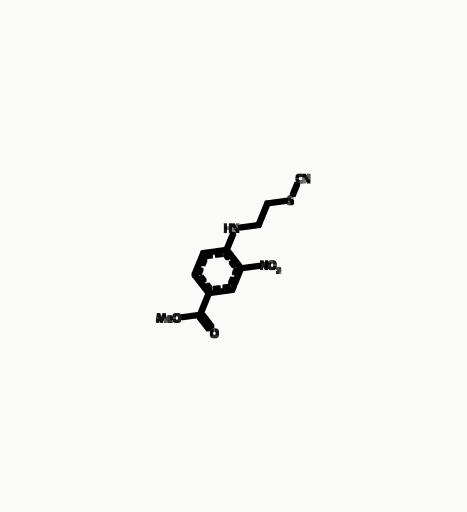 COC(=O)c1ccc(NCCSC#N)c([N+](=O)[O-])c1